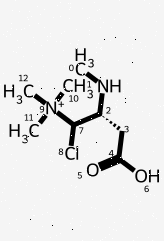 CN[C@H](CC(=O)O)C(Cl)[N+](C)(C)C